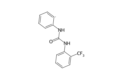 O=C(Nc1[c]cccc1)Nc1ccccc1C(F)(F)F